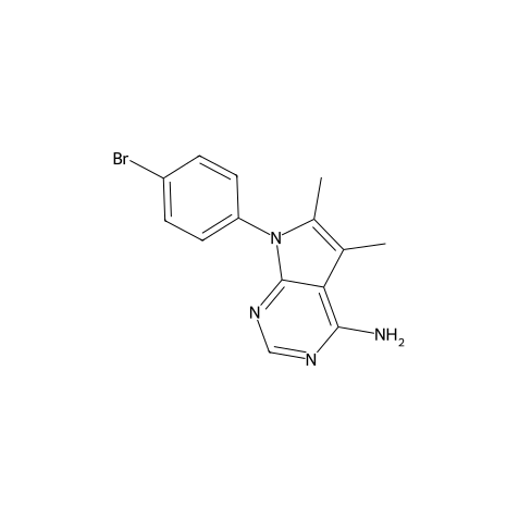 Cc1c(C)n(-c2ccc(Br)cc2)c2ncnc(N)c12